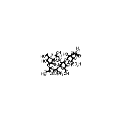 CCC(C)(CC)OC1OC(CO)C(O)C(OC(OC(C(=O)O)[C@H](C)OC2OC(CO)C(O)C(OC3OC(C(=O)O)C(OC(C)(CC)CC)C(O)C3O)C2NC(C)=O)[C@@H](O)CO)C1NC(C)=O